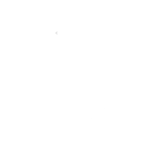 OCc1ccc(C2OO2)cc1